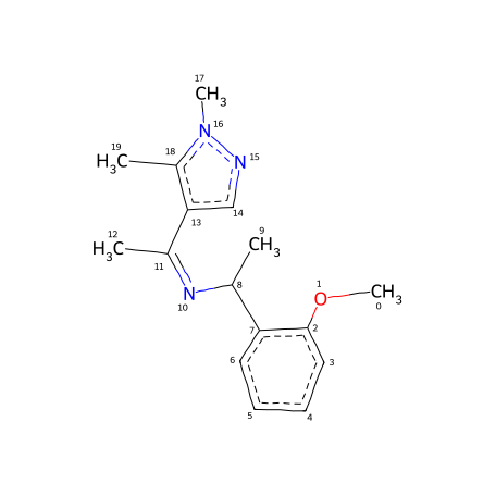 COc1ccccc1C(C)N=C(C)c1cnn(C)c1C